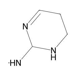 [NH]C1N=CCCN1